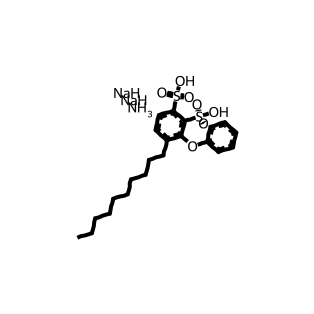 CCCCCCCCCCc1ccc(S(=O)(=O)O)c(S(=O)(=O)O)c1Oc1ccccc1.N.[NaH].[NaH]